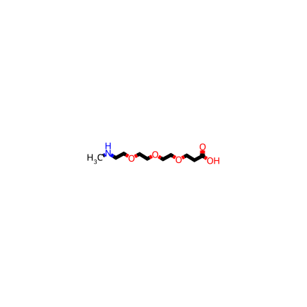 CNCCOCCOCCOCCC(=O)O